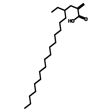 C=C(CC(CC)CCCCCCCCCCCCCCCC)C(=O)O